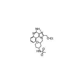 CCOCc1nc2c(N)nc3ccccc3c2n1CC1CC(NS(C)(=O)=O)CCO1